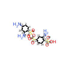 Nc1ccc(S(=O)(=O)OS(=O)(=O)c2ccc(S(=O)(=O)O)c(N)c2)c(N)c1